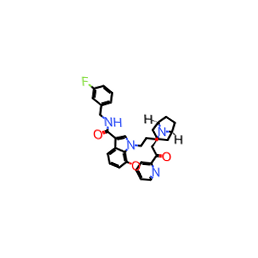 COc1cccc2c(C(=O)NCc3cccc(F)c3)cn(CCCN3[C@@H]4CC[C@H]3C[C@@H](CC(=O)c3ccccn3)C4)c12